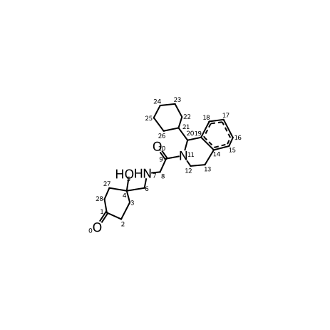 O=C1CCC(O)(CNCC(=O)N2CCc3ccccc3C2C2CCCCC2)CC1